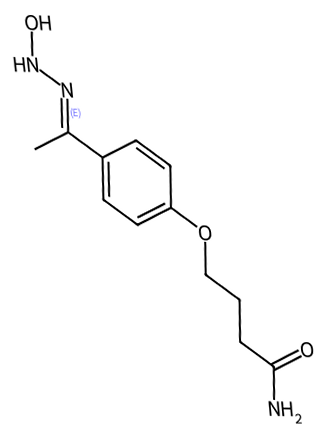 C/C(=N\NO)c1ccc(OCCCC(N)=O)cc1